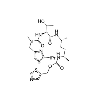 CC(C)c1nc(CN(C)C(=O)N[C@H](C(=O)N[C@H](C)CC[C@@H](C)NC(=O)OCc2cncs2)C(C)O)cs1